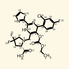 CCOC(=O)OC1=C(CN2CC(F)(F)C[C@H]2C(=O)O)NC(c2nccs2)=NC1c1ccc(F)cc1Cl